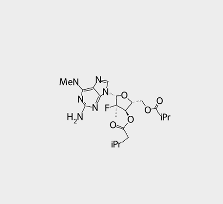 CNc1nc(N)nc2c1ncn2[C@@H]1O[C@H](COC(=O)C(C)C)[C@@H](OC(=O)CC(C)C)[C@@]1(C)F